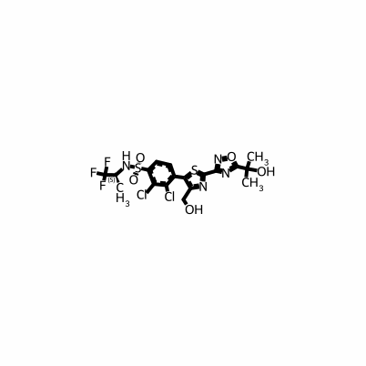 C[C@H](NS(=O)(=O)c1ccc(-c2sc(-c3noc(C(C)(C)O)n3)nc2CO)c(Cl)c1Cl)C(F)(F)F